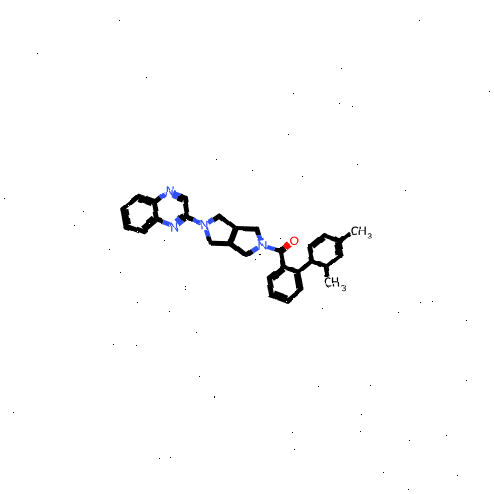 CC1=CC(C)C(c2ccccc2C(=O)N2CC3CN(c4cnc5ccccc5n4)CC3C2)C=C1